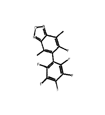 Cc1c(F)c(-c2c(F)c(F)c(F)c(F)c2F)c(C)c2nonc12